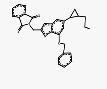 CCCC1CC1c1cc(OCc2ccccc2)c2nc(CN3C(=O)c4ccccc4C3=O)cn2c1